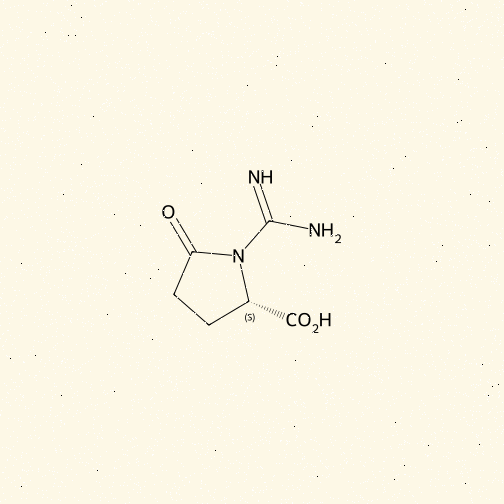 N=C(N)N1C(=O)CC[C@H]1C(=O)O